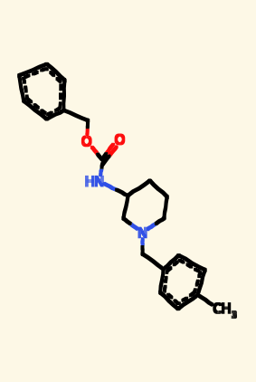 Cc1ccc(CN2CCCC(NC(=O)OCc3ccccc3)C2)cc1